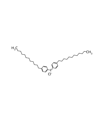 CCCCCCCCCCCCc1ccc([I+]c2ccc(CCCCCCCCCCCC)cc2)cc1.[Cl-]